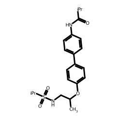 CC(CNS(=O)(=O)C(C)C)Oc1ccc(-c2ccc(NC(=O)C(C)C)cc2)cc1